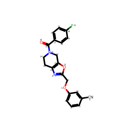 N#Cc1cccc(OCc2nc3c(o2)CN(C(=O)c2ccc(F)cc2)CC3)c1